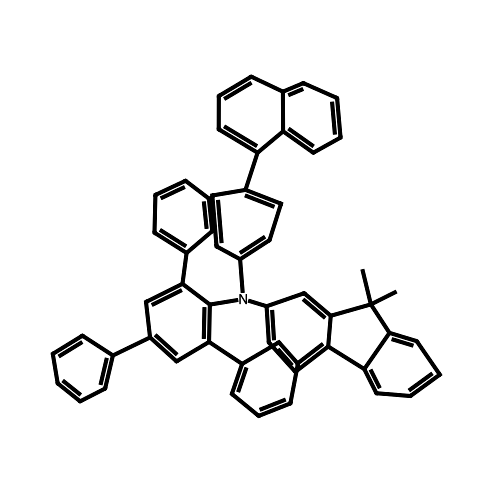 CC1(C)c2ccccc2-c2ccc(N(c3ccc(-c4cccc5ccccc45)cc3)c3c(-c4ccccc4)cc(-c4ccccc4)cc3-c3ccccc3)cc21